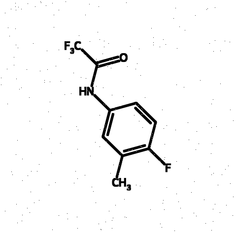 Cc1cc(NC(=O)C(F)(F)F)ccc1F